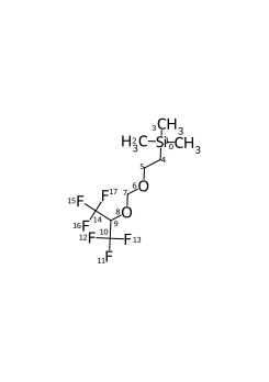 C[Si](C)(C)CCOCOC(C(F)(F)F)C(F)(F)F